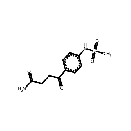 CS(=O)(=O)Nc1ccc(C(=O)CCC(N)=O)cc1